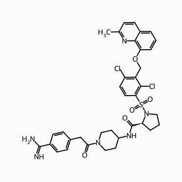 Cc1ccc2cccc(OCc3c(Cl)ccc(S(=O)(=O)N4CCC[C@H]4C(=O)NC4CCN(C(=O)Cc5ccc(C(=N)N)cc5)CC4)c3Cl)c2n1